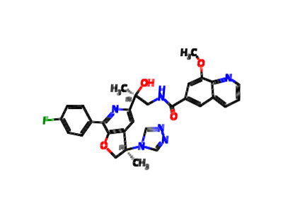 COc1cc(C(=O)NC[C@](C)(O)c2cc3c(c(-c4ccc(F)cc4)n2)OC[C@]3(C)n2cnnc2)cc2cccnc12